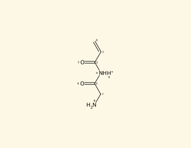 C=CC(=O)NC(=O)CN.[H+]